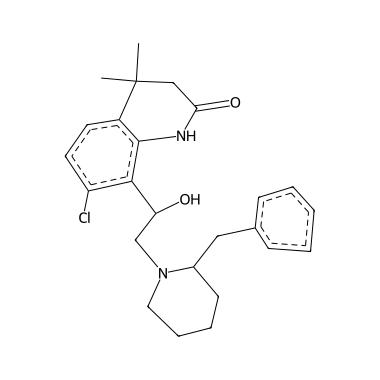 CC1(C)CC(=O)Nc2c1ccc(Cl)c2C(O)CN1CCCCC1Cc1ccccc1